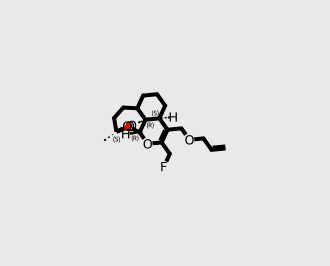 C=CCOCC1=C(CF)O[C@@H]2O[C@]3(C)CCC4CCC[C@@H]1[C@]42OO3